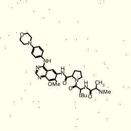 CNC(C)C(=O)NC(C(=O)N1CCCC1C(=O)Nc1cc2c(Nc3ccc(N4CCOCC4)cc3)ncnc2cc1OC)C(C)(C)C